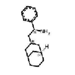 N[C@@H](C[C@@H]1CC2CCC[C@@H](C2)C1)c1ccccc1